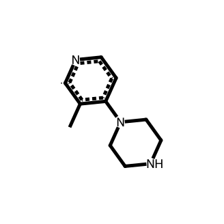 Cc1[c]nccc1N1CCNCC1